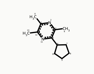 Cc1nc(C)c(C2CCCC2)nc1C